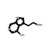 CNCCc1c[nH]c2cncc(OC(C)=O)c12